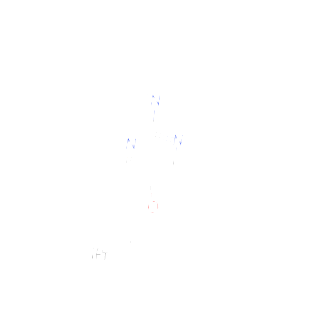 CC(C)CCOc1cnc(N(C)C)nc1